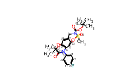 CC(C)(C)OC(=O)N(Cc1ccc2c(c1)OC(C)(C)C(=O)N2c1ccc(F)cc1)S(C)(=O)=O